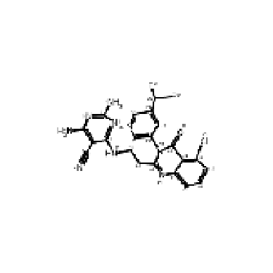 N#Cc1c(N)nc(N)nc1NCCc1nc2cccc(Cl)c2c(=O)n1-c1cncc(C(F)F)c1